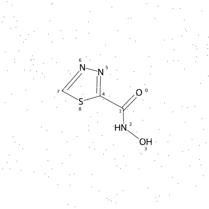 O=C(NO)c1nncs1